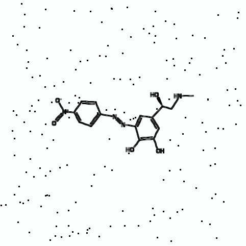 CNC[C@H](O)c1cc(O)c(O)c(N=Nc2ccc([N+](=O)[O-])cc2)c1